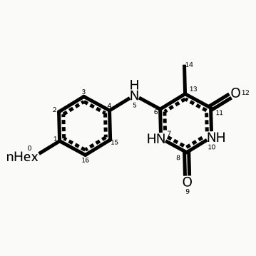 CCCCCCc1ccc(Nc2[nH]c(=O)[nH]c(=O)c2C)cc1